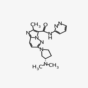 Cc1nc2ccc(N3CC[C@H](N(C)C)C3)nn2c1C(=O)Nc1cccnn1